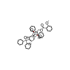 COc1ccccc1C(=O)OCN1C(=O)C2C3C=C(C(O)(c4ccccc4)c4ccccn4)C(C3=C(c3ccccc3)c3ccccn3)C2C1=O